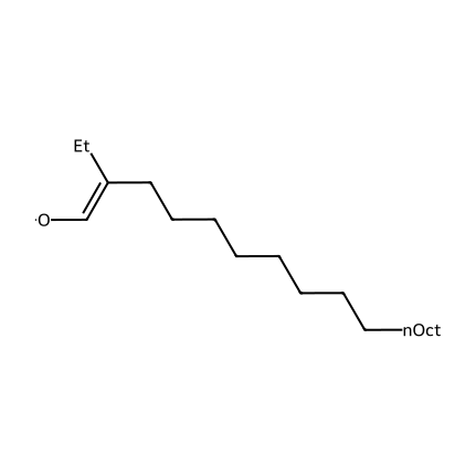 CCCCCCCCCCCCCCCCC(=C[O])CC